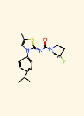 Cc1cn(-c2ccc(C(C)C)cc2)c(=NC(=O)N2CC[C@@H](F)C2)s1